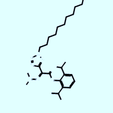 CCCCCCCCCCCCn1nnc(C(=NN(C)C)C(=O)Nc2c(C(C)C)cccc2C(C)C)n1